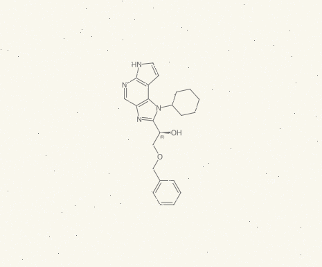 O[C@@H](COCc1ccccc1)c1nc2cnc3[nH]ccc3c2n1C1CCCCC1